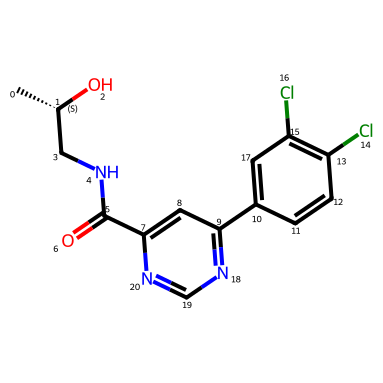 C[C@H](O)CNC(=O)c1cc(-c2ccc(Cl)c(Cl)c2)ncn1